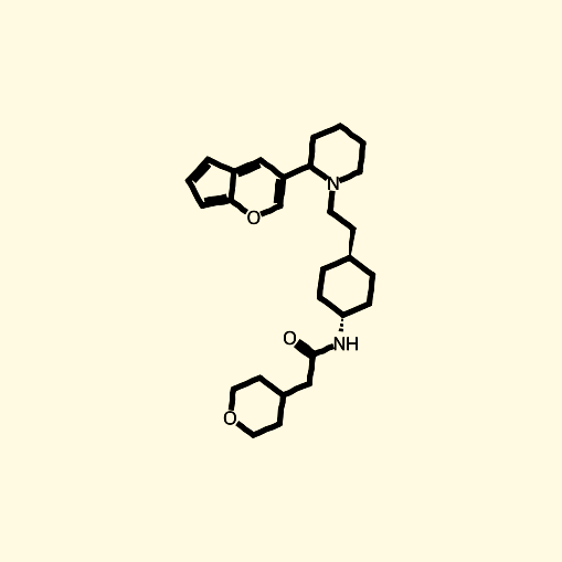 O=C(CC1CCOCC1)N[C@H]1CC[C@H](CCN2CCCCC2c2coc3cccc-3c2)CC1